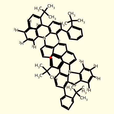 [2H]c1c([2H])c([2H])c(N(c2c(-c3ccccc3C(C)(C)C)ccc(-c3ccccc3C(C)(C)C)c2F)c2ccc3ccc4c(N(c5c([2H])c([2H])c([2H])c([2H])c5[2H])c5c(-c6ccccc6C(C)(C)C)ccc(-c6ccccc6C(C)(C)C)c5F)ccc5ccc2c3c54)c([2H])c1[2H]